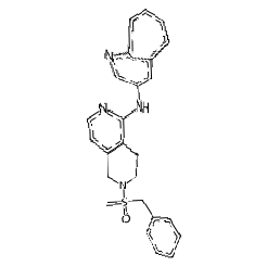 C=S(=O)(Cc1ccccc1)N1CCc2c(ccnc2Nc2cnc3ccccc3c2)C1